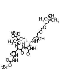 CC(C)(C)OC(=O)Nc1nc(C(=NOC(C)(C)C(=O)OC(C)(C)C)C(=O)N[C@@H]2C(=O)N[C@@H]2CNC[C@H](O)COCOCC[Si](C)(C)C)cs1